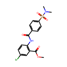 COC(=O)c1cc(Br)ccc1NC(=O)c1ccc(S(=O)(=O)N(C)C)cc1